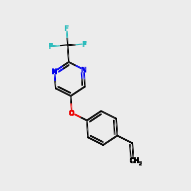 C=Cc1ccc(Oc2cnc(C(F)(F)F)nc2)cc1